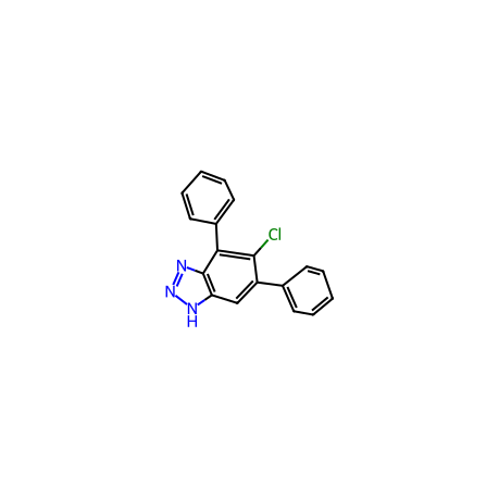 Clc1c(-c2ccccc2)cc2[nH]nnc2c1-c1ccccc1